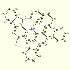 Cc1ccccc1N(c1c(C)c(C)cc2c1Cc1ccccc1-2)c1c2c(cc(-c3ccccc3)c1-c1ccccc1)-c1ccccc1C2